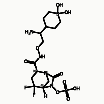 NC(CONC(=O)[C@@H]1CC(F)(F)[C@@H]2CN1C(=O)N2OS(=O)(=O)O)C1CCS(O)(O)CC1